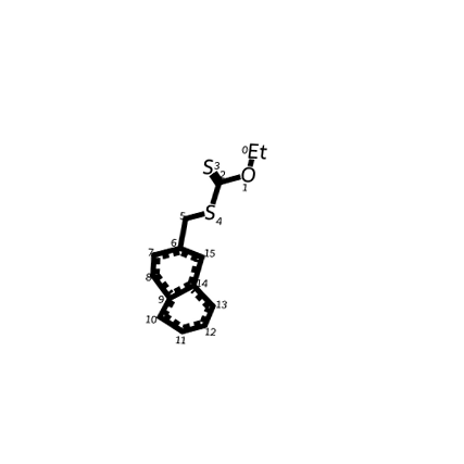 CCOC(=S)SCc1ccc2ccccc2c1